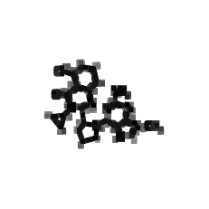 Cn1cnc2c(N3CCCC3c3nc4cccc(Cl)c4c(=O)n3C3CC3)nc(N)nc21